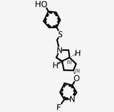 Oc1ccc(SCN2C[C@H]3C[C@H](Oc4ccc(F)nc4)C[C@H]3C2)cc1